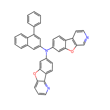 c1ccc(-c2cc(N(c3ccc4c(c3)oc3cnccc34)c3ccc4c(c3)oc3cccnc34)cc3ccccc23)cc1